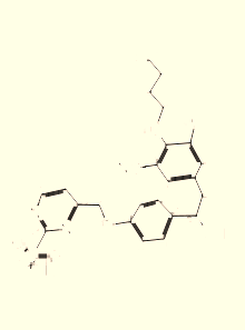 C[C@H](Cc1cc(Cl)c(OCCCCl)c(C#N)c1)c1ccc(OCc2ccnc(S(C)(=O)=O)n2)cc1